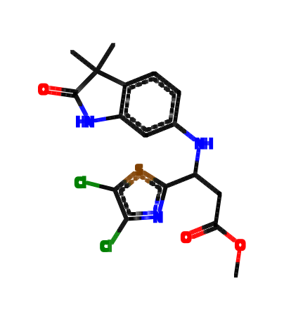 COC(=O)CC(Nc1ccc2c(c1)NC(=O)C2(C)C)c1nc(Cl)c(Cl)s1